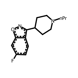 C[CH]CN1CCC(c2noc3cc(F)ccc23)CC1